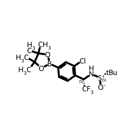 CC(C)(C)[S@@+]([O-])N[C@@H](c1ccc(B2OC(C)(C)C(C)(C)O2)cc1Cl)C(F)(F)F